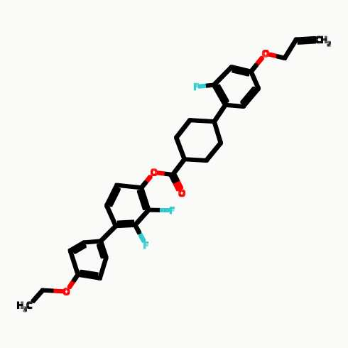 C=CCOc1ccc(C2CCC(C(=O)Oc3ccc(-c4ccc(OCC)cc4)c(F)c3F)CC2)c(F)c1